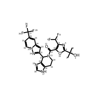 CC(C)(O)c1nc(C(F)F)c(C(=O)N2CCc3[nH]cnc3C2c2cc3cc(C(F)(F)F)ccn3n2)o1